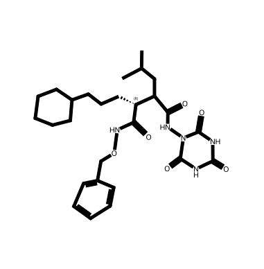 CC(C)CC(C(=O)Nn1c(=O)[nH]c(=O)[nH]c1=O)[C@@H](CCCC1CCCCC1)C(=O)NOCc1ccccc1